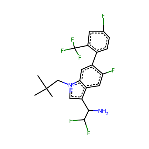 CC(C)(C)Cn1cc(C(N)C(F)F)c2cc(F)c(-c3ccc(F)cc3C(F)(F)F)cc21